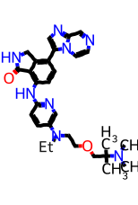 CCN(CCOCC(C)(C)N(C)C)c1ccc(Nc2ccc(-c3cnc4cnccn34)c3c2C(=O)NC3)nc1